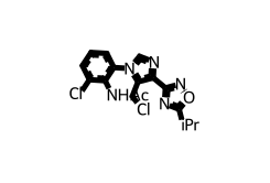 CC(=O)Nc1c(Cl)cccc1-n1cnc(-c2noc(C(C)C)n2)c1CCl